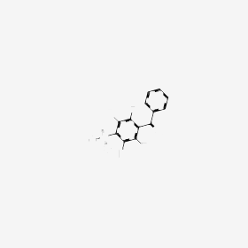 O=C(c1ccccc1)c1c(F)c(F)c(S(=O)(=O)O)c(F)c1F